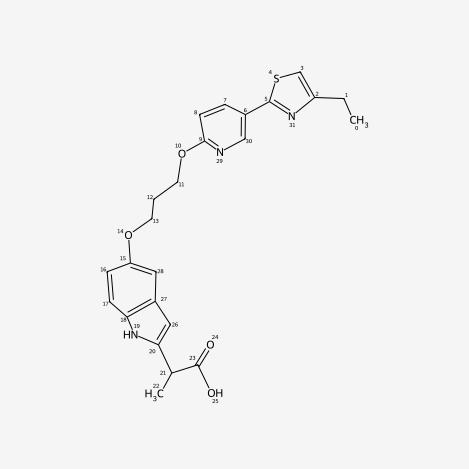 CCc1csc(-c2ccc(OCCCOc3ccc4[nH]c(C(C)C(=O)O)cc4c3)nc2)n1